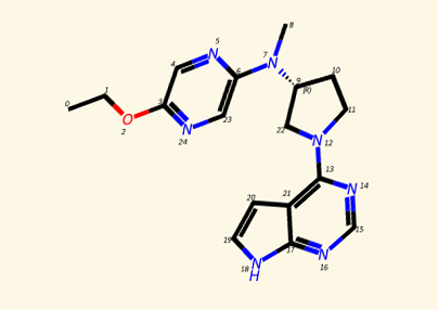 CCOc1cnc(N(C)[C@@H]2CCN(c3ncnc4[nH]ccc34)C2)cn1